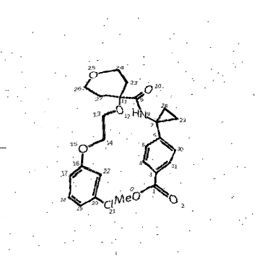 COC(=O)c1ccc(C2(NC(=O)C3(OCCOc4cccc(Cl)c4)CCOCC3)CC2)cc1